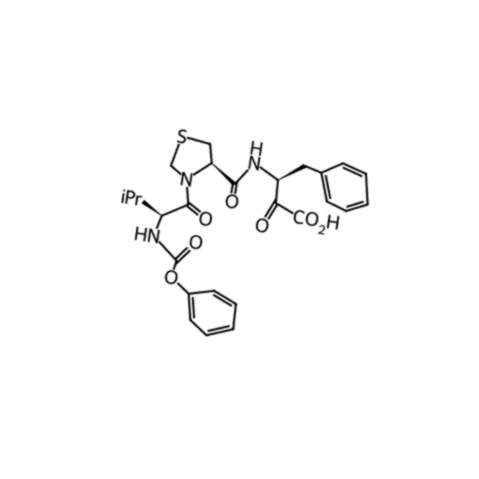 CC(C)[C@H](NC(=O)Oc1ccccc1)C(=O)N1CSC[C@H]1C(=O)N[C@@H](Cc1ccccc1)C(=O)C(=O)O